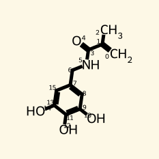 C=C(C)C(=O)NCc1cc(O)c(O)c(O)c1